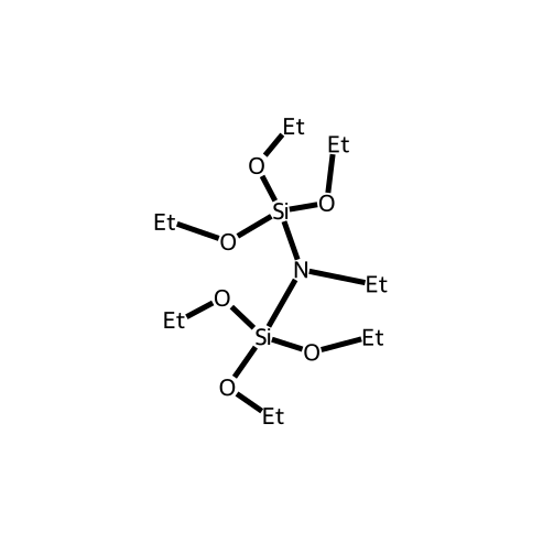 CCO[Si](OCC)(OCC)N(CC)[Si](OCC)(OCC)OCC